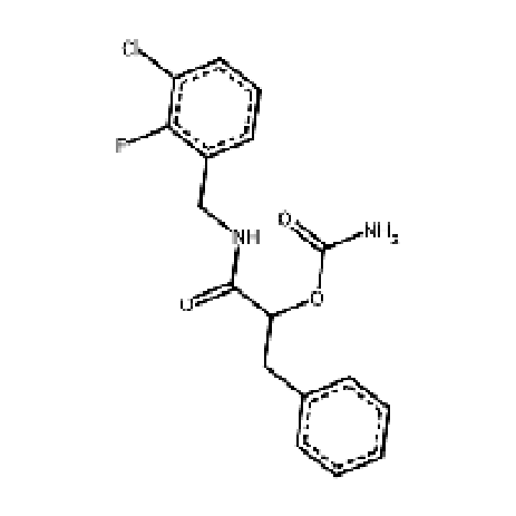 NC(=O)OC(Cc1ccccc1)C(=O)NCc1cccc(Cl)c1F